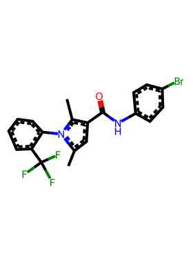 Cc1cc(C(=O)Nc2ccc(Br)cc2)c(C)n1-c1ccccc1C(F)(F)F